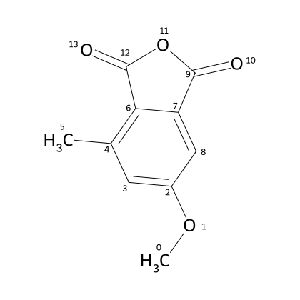 COc1cc(C)c2c(c1)C(=O)OC2=O